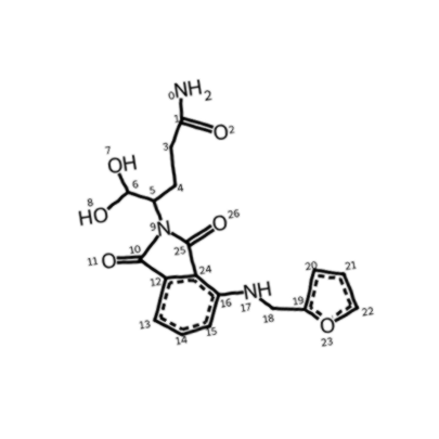 NC(=O)CCC(C(O)O)N1C(=O)c2cccc(NCc3ccco3)c2C1=O